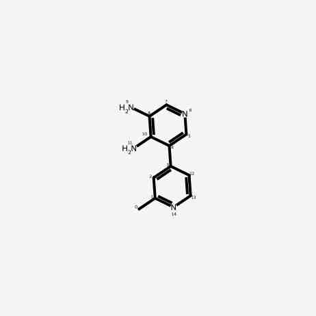 Cc1cc(-c2cncc(N)c2N)ccn1